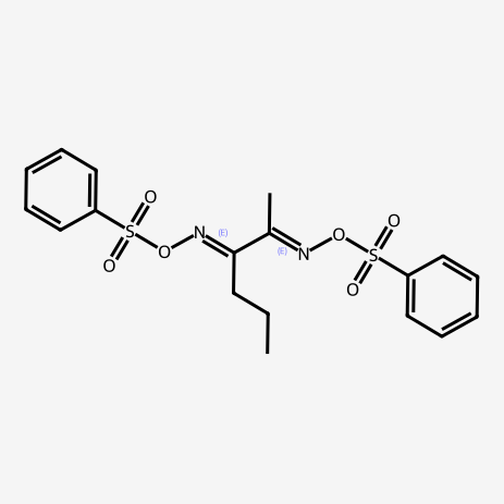 CCCC(=N\OS(=O)(=O)c1ccccc1)/C(C)=N/OS(=O)(=O)c1ccccc1